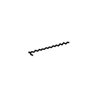 C=C(CC)CCCCCCCCCCCCCCCCCCCCCC